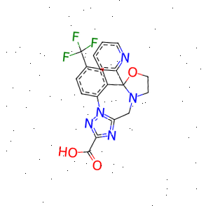 O=C(O)c1nc2n(n1)-c1ccc(C(F)(F)F)cc1C1(c3ccccn3)OCCN1C2